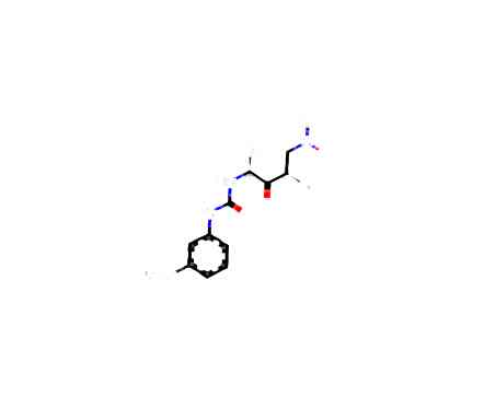 CCCC[C@H](CN(O)C=O)C(=O)[C@@H](NC(=O)Nc1cccc(OC)c1)C(C)C